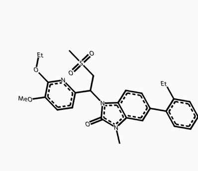 CCOc1nc(C(CS(C)(=O)=O)n2c(=O)n(C)c3cc(-c4ccccc4CC)ccc32)ccc1OC